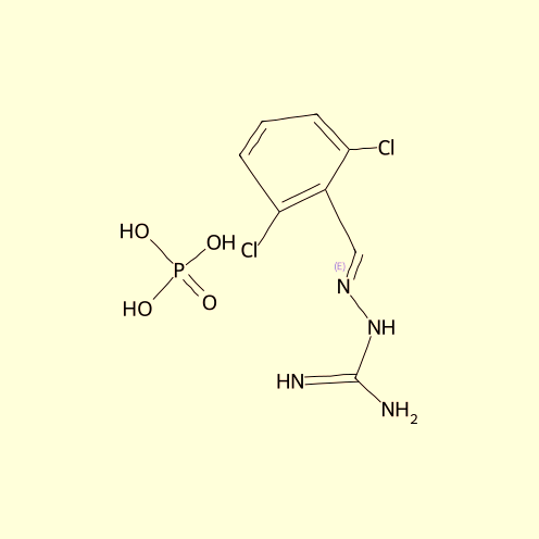 N=C(N)N/N=C/c1c(Cl)cccc1Cl.O=P(O)(O)O